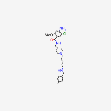 COc1cc(N)c(Cl)cc1C(=O)NCC1CCN(CCCCCNCc2ccc(C)cc2)CC1